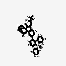 CC(C)(C)c1cc2c(cn1)C1(c3cc(-c4cccc(P(=O)(c5ccccc5)c5ccccc5)c4)ccc3-2)C2CC3CC(C2)CC1C3